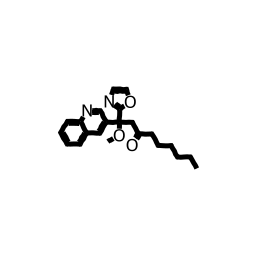 CCCCCCC(=O)CC(OC)(c1cnc2ccccc2c1)c1ncco1